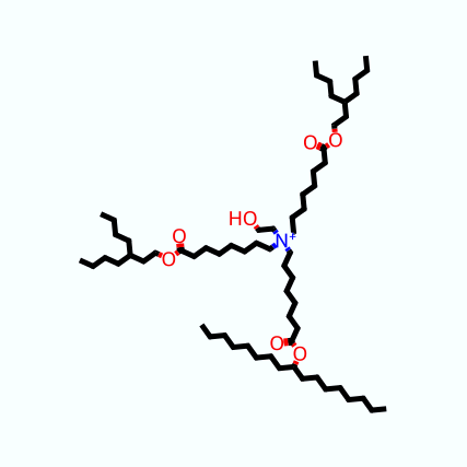 CCCCCCCCC(CCCCCCCC)OC(=O)CCCCCCC[N+](CCO)(CCCCCCCC(=O)OCCC(CCCC)CCCC)CCCCCCCC(=O)OCCC(CCCC)CCCC